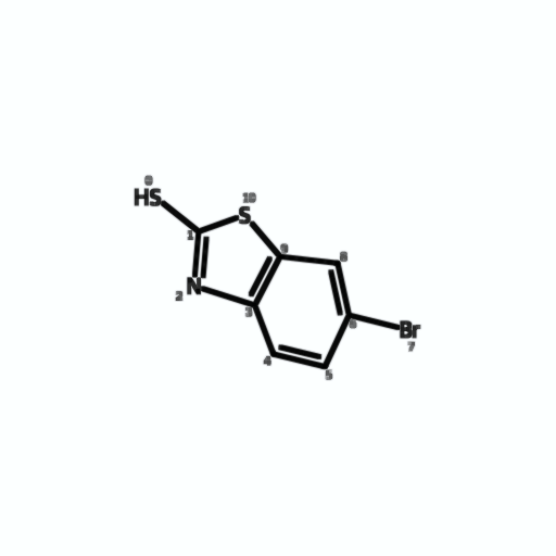 Sc1nc2ccc(Br)cc2s1